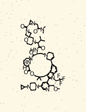 CO[C@@H](C)c1ncc(N2CCN(C3CC3)CC2)cc1-c1c2c3cc(ccc3n1CC(F)(F)F)C1=CCCN(C1)C[C@H](NC(=O)C(C(C)C)N1CCOC3(CN(C(=O)[C@H]4CN4CC(=O)N(C)C)C3)C1)C(=O)N1CCC[C@H](N1)C(=O)OCC(C)(C)C2